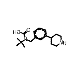 CC(C)(C)N(Cc1cccc(C2CCNCC2)c1)C(=O)O